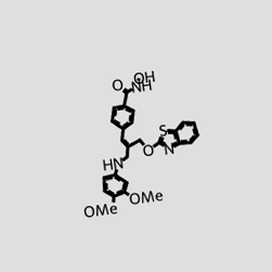 COc1ccc(NC/C(=C/c2ccc(C(=O)NO)cc2)COc2nc3ccccc3s2)cc1OC